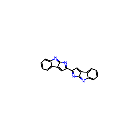 C1=C2C(=Nc3ccccc32)N=C1C1=NC2=Nc3ccccc3C2=C1